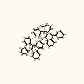 c1ccc(-c2ccc(N(c3ccc4c(c3)c(-c3ccccc3)c(-c3ccccc3)c3ccccc34)c3cccc4sc5ccccc5c34)c3ccccc23)cc1